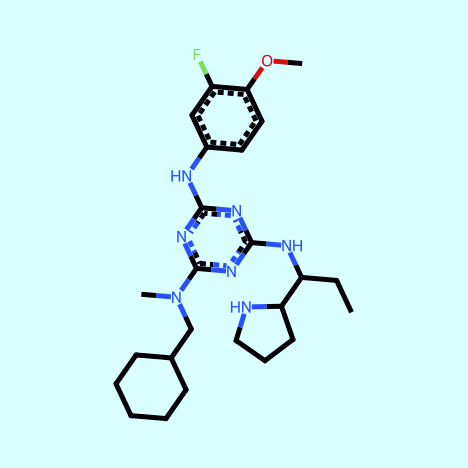 CCC(Nc1nc(Nc2ccc(OC)c(F)c2)nc(N(C)CC2CCCCC2)n1)C1CCCN1